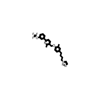 Cc1cc(CCCCn2ccnn2)ccc1OCc1ccc(-c2cccc(OC(F)(F)F)c2)nc1C